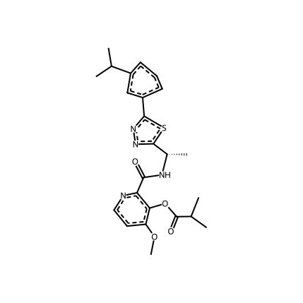 COc1ccnc(C(=O)N[C@@H](C)c2nnc(-c3cccc(C(C)C)c3)s2)c1OC(=O)C(C)C